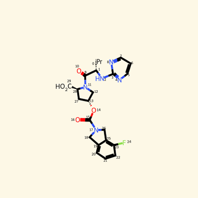 CC(C)[C@H](Nc1ncccn1)C(=O)N1C[C@H](OC(=O)N2Cc3cccc(F)c3C2)C[C@H]1C(=O)O